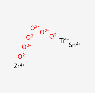 [O-2].[O-2].[O-2].[O-2].[O-2].[O-2].[Sn+4].[Ti+4].[Zr+4]